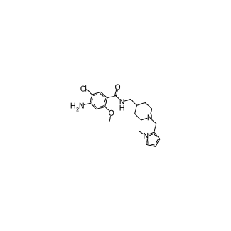 COc1cc(N)c(Cl)cc1C(=O)NCC1CCN(Cc2cccn2C)CC1